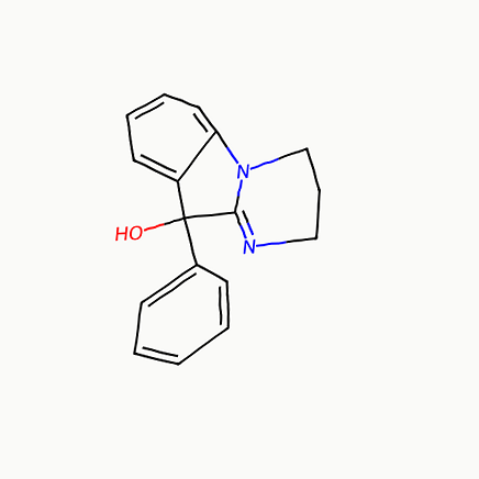 OC1(c2ccccc2)C2=NCCCN2c2ccccc21